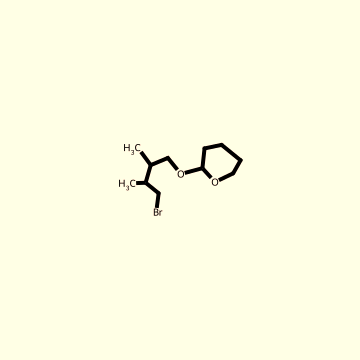 CC(CBr)C(C)COC1CCCCO1